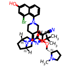 CN1CCC[C@H]1COc1nc(N2[C@@H]3CC[C@H]2CN(C(=O)OC(C)(C)C)C3)c2c(c1C#N)CN(c1cccc3cc(O)cc(Br)c13)CC2